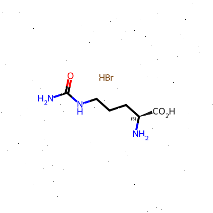 Br.NC(=O)NCCC[C@H](N)C(=O)O